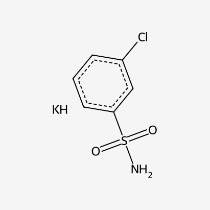 NS(=O)(=O)c1cccc(Cl)c1.[KH]